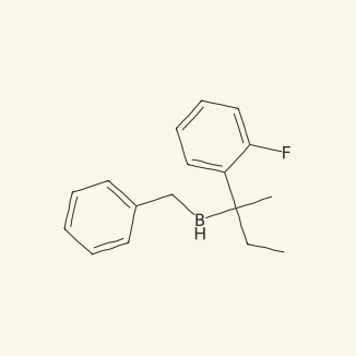 CCC(C)(BCc1ccccc1)c1ccccc1F